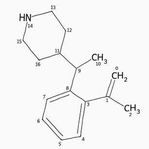 C=C(C)c1ccccc1C(C)C1CCNCC1